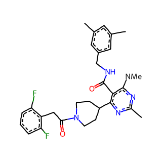 CNc1nc(C)nc(C2CCN(C(=O)Cc3c(F)cccc3F)CC2)c1C(=O)NCc1cc(C)cc(C)c1